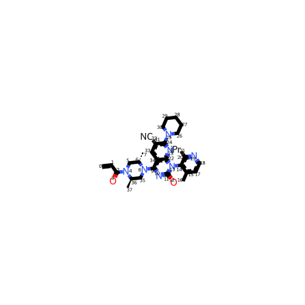 C=CC(=O)N1C[C@H](C)N(c2nc(=O)n(-c3c(C)ccnc3C(C)C)c3nc(N4CCCCC4)c(C#N)cc23)C[C@H]1C